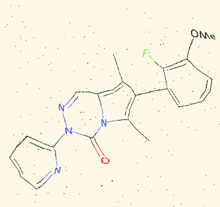 COc1cccc(-c2c(C)c3cnn(-c4ccccn4)c(=O)n3c2C)c1F